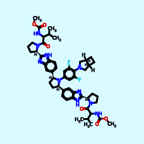 COC(=O)NC(C(=O)N1CCC[C@H]1c1nc2cc([C@H]3CC[C@H](c4ccc5[nH]c([C@@H]6CCCN6C(=O)C(NC(=O)OC)C(C)C)nc5c4)N3c3cc(F)c(N4C[C@H]5CC[C@H]5C4)c(F)c3)ccc2[nH]1)C(C)C